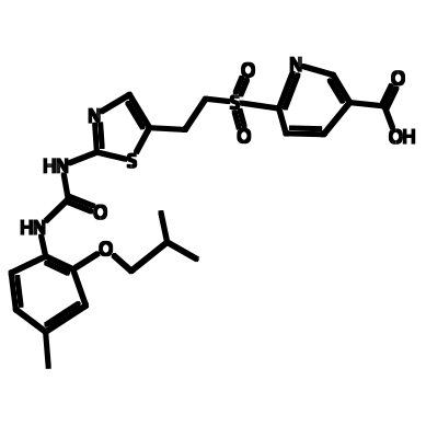 Cc1ccc(NC(=O)Nc2ncc(CCS(=O)(=O)c3ccc(C(=O)O)cn3)s2)c(OCC(C)C)c1